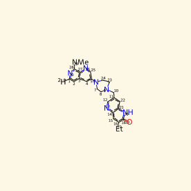 [2H]c1cc2cc(N3CCN(Cc4cnc5cc(CC)c(=O)[nH]c5c4)CC3)cnc2c(NC)n1